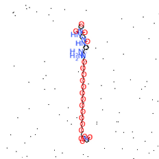 N/C(=C\N(N)CCOCCOCCOCCOCCOCCOCCOCCOCCOCCOCCOCCOCCC(=O)ON1C(=O)CCC1=O)c1cccc(NC(=O)N2CCC3(CC2)NC(=O)N(C2CCOCC2)C3=O)c1